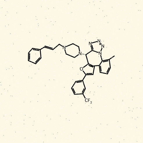 Cc1cccc(C)c1-n1nnnc1[C@H](c1ccc(-c2cccc(C(F)(F)F)c2)o1)N1CCN(C/C=C/c2ccccc2)CC1